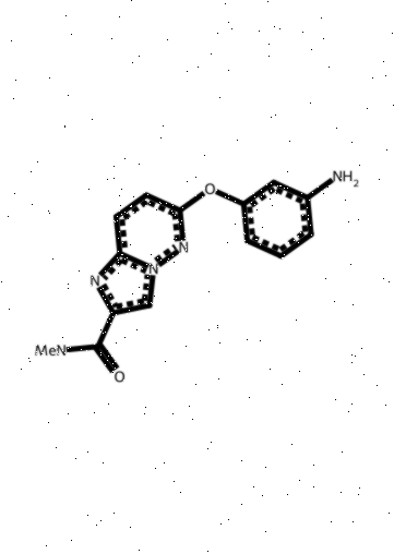 CNC(=O)c1cn2nc(Oc3cccc(N)c3)ccc2n1